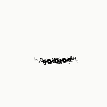 Cc1csc(-c2ccc(-c3nc4cc5sc(-c6ccc(-c7cc(C)cs7)cc6)nc5cc4s3)cc2)c1